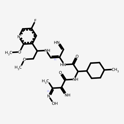 COCC(N/C=C(\C=N)NC(=O)C(NC(=O)C(=N)/C(C)=N\O)C1CCC(C)CC1)c1cc(F)cnc1OC